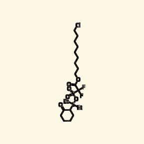 CCS(CC)(OS(=O)(=O)C(F)(F)C(=O)OCCCCCCCCCCl)C1CCCCC1=O